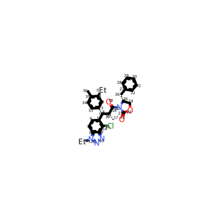 CCc1cc([C@@H](c2ccc3c(nnn3CC)c2Cl)[C@@H](C)C(=O)N2C(=O)OC[C@H]2Cc2ccccc2)ccc1C